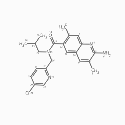 Cc1cc2nc(N)c(C)cc2cc1C(=O)N(Cc1ccc(Cl)cn1)CC(C)C